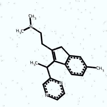 Cc1ccc2c(c1)CC(CCN(C)C)=C2C(C)c1cnccn1